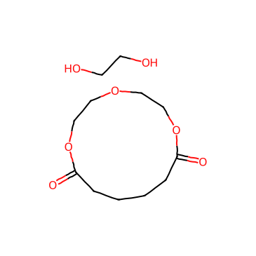 O=C1CCCCC(=O)OCCOCCO1.OCCO